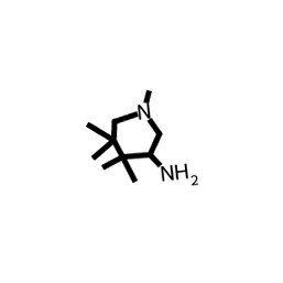 CN1CC(N)C(C)(C)C(C)(C)C1